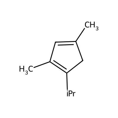 CC1=CC(C)=C(C(C)C)C1